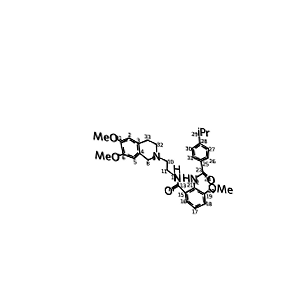 COc1cc2c(cc1OC)CN(CCNC(=O)c1cccc(OC)c1NC(=O)c1ccc(C(C)C)cc1)CC2